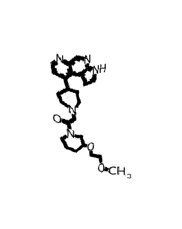 COCCOC1CCCN(C(=O)CN2CCC(c3ccnc4cnc5[nH]ccc5c34)CC2)C1